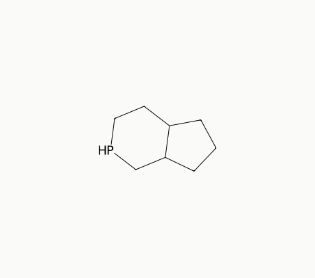 C1CC2CCPCC2C1